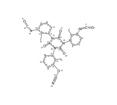 Cc1c(N=C=O)cccc1-n1c(=O)n(-c2cccc(N=C=O)c2C)c(=O)n(-c2cccc(OC#N)c2C)c1=O